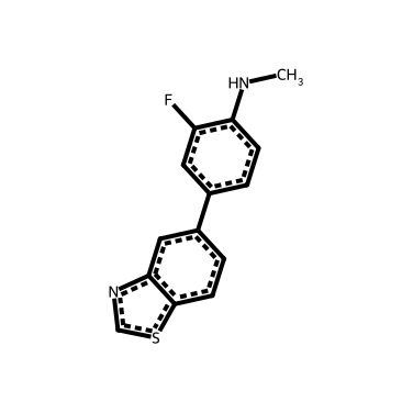 CNc1ccc(-c2ccc3scnc3c2)cc1F